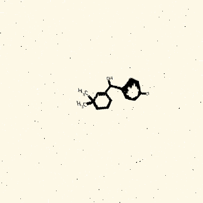 CC1(C)C=C(C(O)c2ccc(Cl)cc2)CCC1